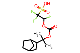 CC(C)(OC(=O)OC(F)C(F)(F)S(=O)(=O)O)C1CC2CCC1C2